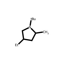 CCC1CC(C)N(C(C)(C)C)C1